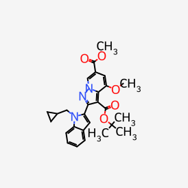 COC(=O)c1cc(OC)c2c(C(=O)OC(C)(C)C)c(-c3cc4ccccc4n3CC3CC3)nn2c1